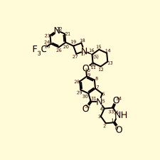 O=C1CCC(N2Cc3cc(O[C@@H]4CCCC[C@@H]4N4CC(c5cncc(C(F)(F)F)c5)C4)ccc3C2=O)C(=O)N1